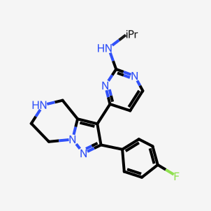 CC(C)Nc1nccc(-c2c(-c3ccc(F)cc3)nn3c2CNCC3)n1